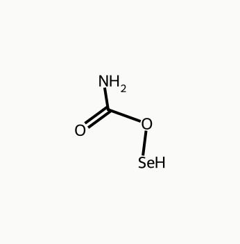 NC(=O)O[SeH]